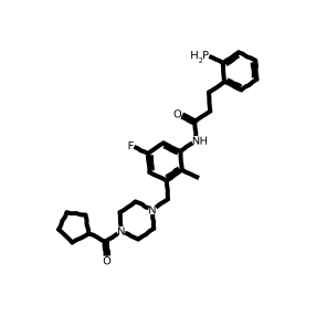 Cc1c(CN2CCN(C(=O)C3CCCC3)CC2)cc(F)cc1NC(=O)CCc1ccccc1P